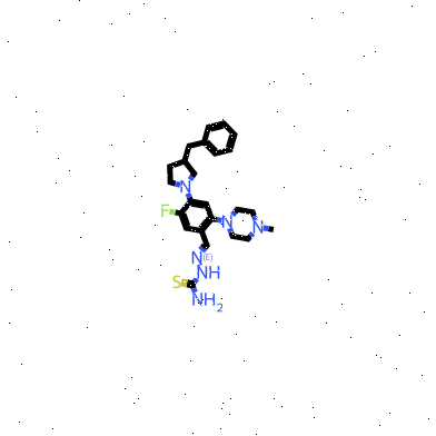 CN1CCN(c2cc(N3CCC(Cc4ccccc4)C3)c(F)cc2/C=N/NC(N)=S)CC1